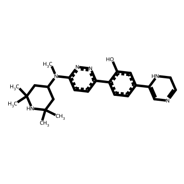 CN(c1ccc(-c2ccc(C3=CN=CCN3)cc2O)nn1)C1CC(C)(C)NC(C)(C)C1